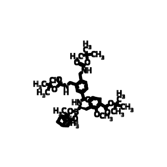 COc1c(C[C@H](NC(=O)c2ccc(CNC(=O)OC(C)(C)C)c(CNC(=O)OC(C)(C)C)c2)B2OC3CC4CC(C4(C)C)C3(C)O2)cccc1C(=O)OC(C)(C)C